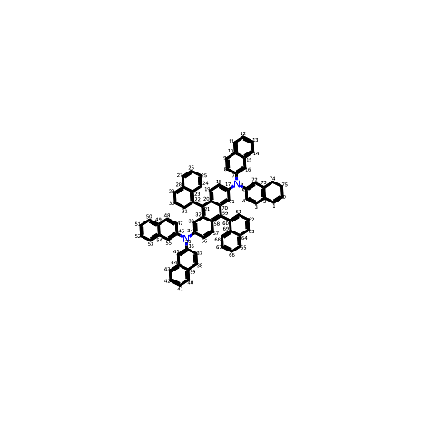 C1=Cc2ccc(N(c3ccc4ccccc4c3)c3ccc4c(C5=c6ccccc6=CCC5)c5cc(N(c6ccc7ccccc7c6)c6ccc7ccccc7c6)ccc5c(-c5cccc6ccccc56)c4c3)cc2CC1